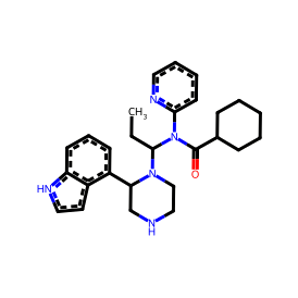 CCC(N(C(=O)C1CCCCC1)c1ccccn1)N1CCNCC1c1cccc2[nH]ccc12